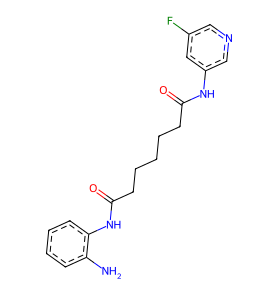 Nc1ccccc1NC(=O)CCCCCC(=O)Nc1cncc(F)c1